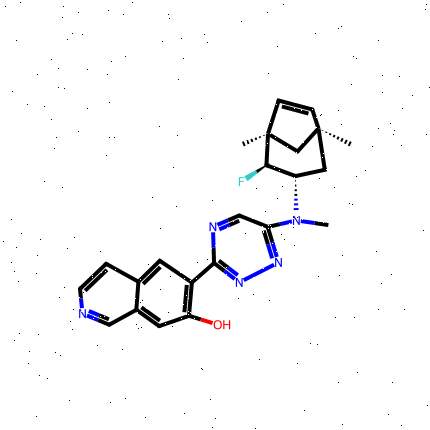 CN(c1cnc(-c2cc3ccncc3cc2O)nn1)[C@H]1C[C@]2(C)C=C[C@@](C)(C2)[C@@H]1F